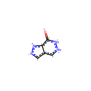 O=c1[nH][nH]cc2cnnc1-2